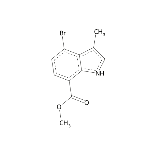 COC(=O)c1ccc(Br)c2c(C)c[nH]c12